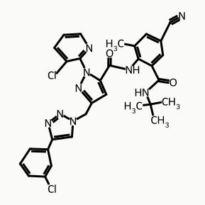 Cc1cc(C#N)cc(C(=O)NC(C)(C)C)c1NC(=O)c1cc(Cn2cc(-c3cccc(Cl)c3)nn2)nn1-c1ncccc1Cl